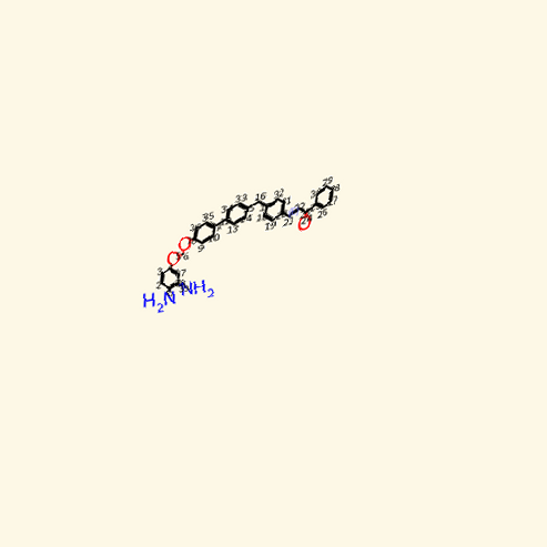 Nc1ccc(OCOc2ccc(-c3ccc(Cc4ccc(/C=C/C(=O)c5ccccc5)cc4)cc3)cc2)cc1N